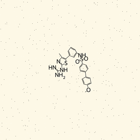 COc1ccc(-c2ccc(S(=O)(=O)Nc3cccc(-c4sc(NC(=N)N)nc4C)c3)cc2)cc1